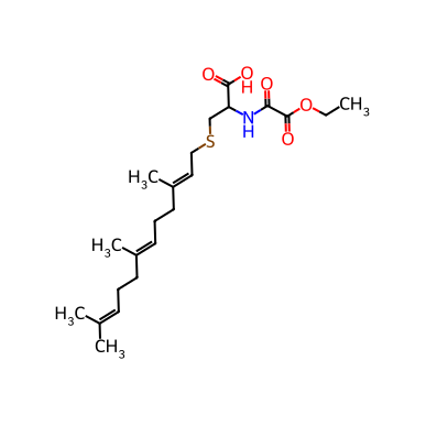 CCOC(=O)C(=O)NC(CSC/C=C(\C)CC/C=C(\C)CCC=C(C)C)C(=O)O